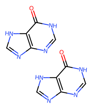 O=c1[nH]cnc2nc[nH]c12.O=c1[nH]cnc2nc[nH]c12